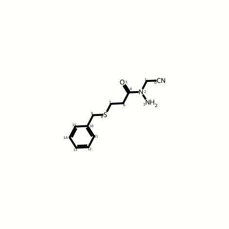 N#CCN(N)C(=O)CCSCc1ccccc1